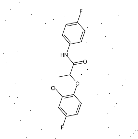 CC(Oc1ccc(F)cc1Cl)C(=O)Nc1ccc(F)cc1